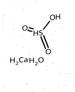 O.O=[SH](=O)O.[CaH2]